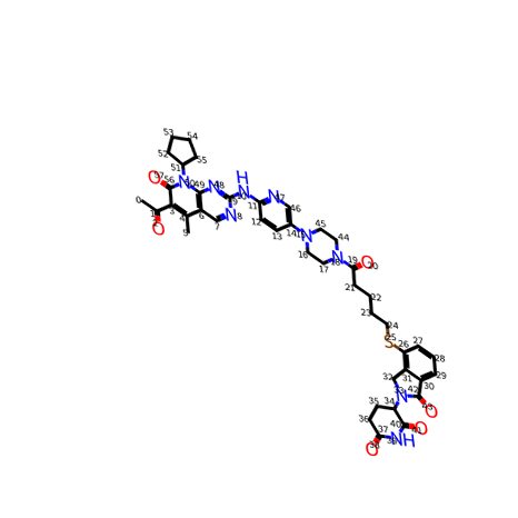 CC(=O)c1c(C)c2cnc(Nc3ccc(N4CCN(C(=O)CCCCSc5cccc6c5CN(C5CCC(=O)NC5=O)C6=O)CC4)cn3)nc2n(C2CCCC2)c1=O